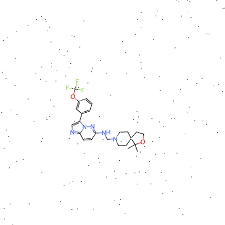 CC1(C)OCCC12CCN(CNc1ccc3ncc(-c4cccc(OC(F)(F)F)c4)n3n1)CC2